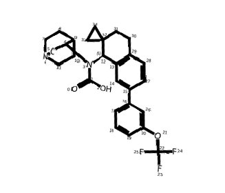 O=C(O)N(C1CN2CCC1CC2)[C@@H]1c2cc(-c3cccc(OC(F)(F)F)c3)ccc2CCC12CC2